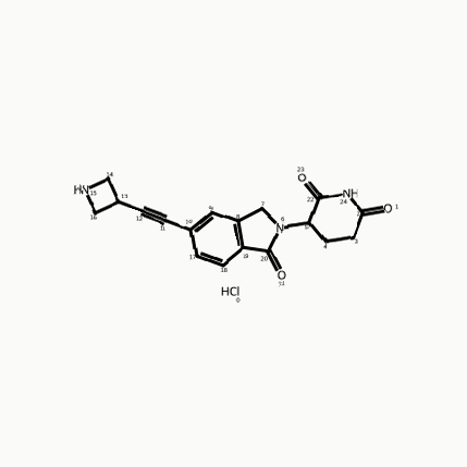 Cl.O=C1CCC(N2Cc3cc(C#CC4CNC4)ccc3C2=O)C(=O)N1